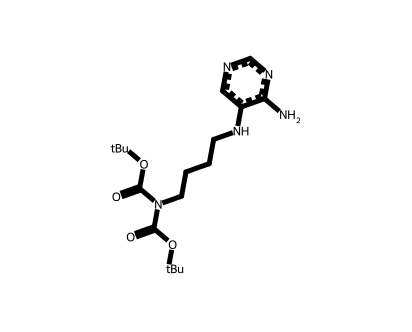 CC(C)(C)OC(=O)N(CCCCNc1cncnc1N)C(=O)OC(C)(C)C